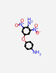 Nc1ccc(Oc2cc([N+](=O)[O-])c(N)c([N+](=O)[O-])c2)cc1